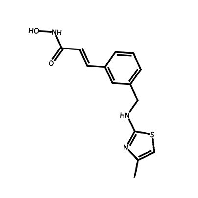 Cc1csc(NCc2cccc(/C=C/C(=O)NO)c2)n1